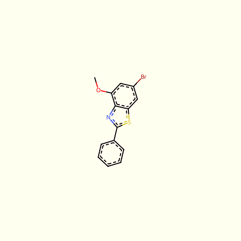 COc1cc(Br)cc2sc(-c3ccccc3)nc12